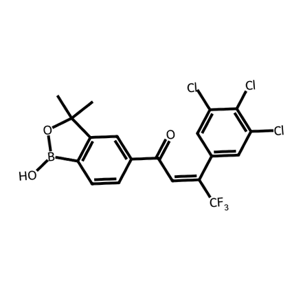 CC1(C)OB(O)c2ccc(C(=O)C=C(c3cc(Cl)c(Cl)c(Cl)c3)C(F)(F)F)cc21